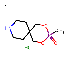 CP1(=O)OCC2(CCNCC2)CO1.Cl